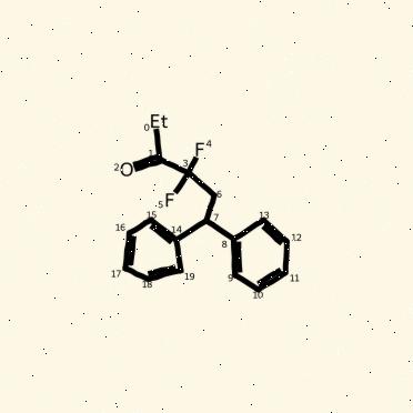 CCC(=O)C(F)(F)CC(c1ccccc1)c1ccccc1